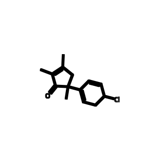 CC1=C(C)C(=O)C(C)(C2=CCC(Cl)C=C2)C1